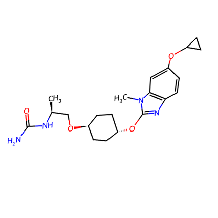 C[C@@H](CO[C@H]1CC[C@H](Oc2nc3ccc(OC4CC4)cc3n2C)CC1)NC(N)=O